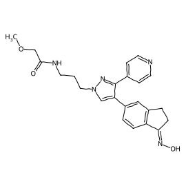 COCC(=O)NCCCn1cc(-c2ccc3c(c2)CCC3=NO)c(-c2ccncc2)n1